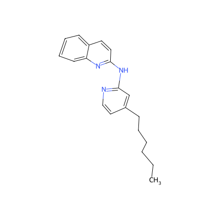 CCCCCCc1ccnc(Nc2ccc3ccccc3n2)c1